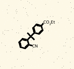 CCOC(=O)c1ccc(C(C)(C)c2ccccc2C#N)cc1